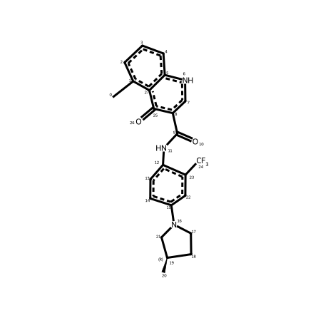 Cc1cccc2[nH]cc(C(=O)Nc3ccc(N4CC[C@@H](C)C4)cc3C(F)(F)F)c(=O)c12